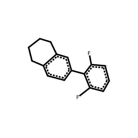 Fc1[c]ccc(F)c1-c1ccc2c(c1)CCCC2